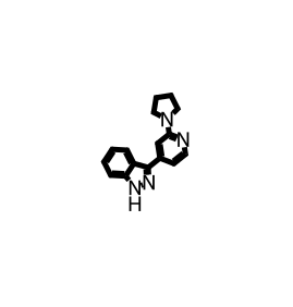 c1ccc2c(-c3ccnc(N4CCCC4)c3)n[nH]c2c1